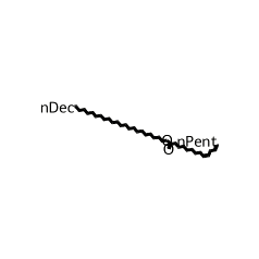 CCCCC/C=C\C/C=C\CCCCCCCC(=O)OCCCCCCCCCCCCCCCCCCCCCCCCCCCCCCCC